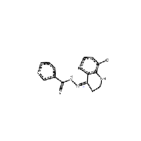 S=C(N/N=C1/CCNc2c(Cl)ccnc21)c1cccnc1